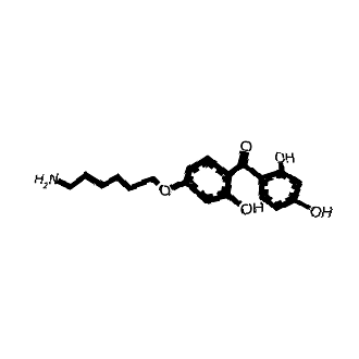 NCCCCCCOc1ccc(C(=O)c2ccc(O)cc2O)c(O)c1